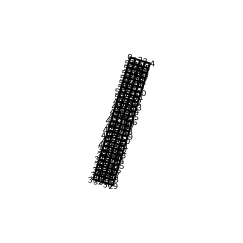 C1C2C3C4CC5C6C7C8C9C%10C%11C%12C%13C%14C%15C%16C%17C%18C%19C%20C%21C%22C%23C%24C%25C%26C%27C%28CC%29C%30C%31CC%32C%33C%34C%35C%36C%37C%38C%39C%40C%41C%42C%43C%44C%45C%46C%47C%48C%49C%50C%51C%52C%53C%54C1C21C32C45C63C74C85C96C%107C%118C%129C%13%10C%14%11C%15%12C%16%13C%17%14C%18%15C%19%16C%20%17C%21%18C%22%19C%23%20C%24%21C%25%22C%26%23C%27%24C%29%28C%30%25C%31%32C%33%26C%34%27C%35%28C%36%29C%37%30C%38%31C%39%32C%40%33C%41%34C%42%35C%43%36C%44%37C%45%38C%46%39C%47%40C%48%41C%49%42C%50%43C%51%44C%52%45C%53%46C%541C23C%464C%455C%446C%437C%428C%419C%40%10C%39%11C%38%12C%37%13C%36%14C%35%15C%34%16C%33%17C%32%18C%31%19C%30%20C%29%21C%28%22C%27%23C%25%26%24